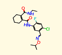 CCNC(=O)C1=C(C(=O)Nc2cc(C=NOC(C)C)c(Cl)cc2F)CCCC1